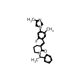 Cc1cn(-c2cc(F)c(/C=C3\CCCN([C@@H](C)c4ccccc4)C3=O)cc2C)cn1